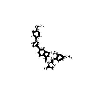 Cc1ccc(N=C2SCC(=O)N2N=C2CCc3cc(-c4ncn(-c5ccc(OC(F)(F)F)cc5)n4)ccc32)c(C)c1